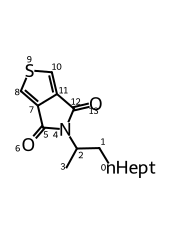 CCCCCCCCC(C)N1C(=O)c2cscc2C1=O